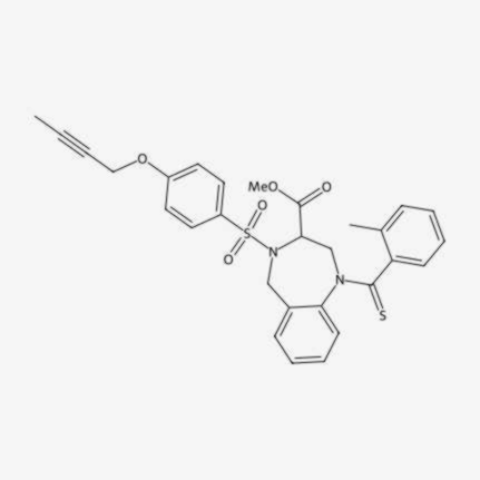 CC#CCOc1ccc(S(=O)(=O)N2Cc3ccccc3N(C(=S)c3ccccc3C)CC2C(=O)OC)cc1